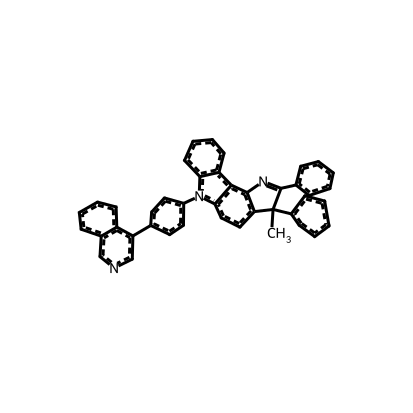 CC1(c2ccccc2)C(c2ccccc2)=Nc2c1ccc1c2c2ccccc2n1-c1ccc(-c2cncc3ccccc23)cc1